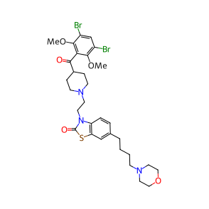 COc1c(Br)cc(Br)c(OC)c1C(=O)C1CCN(CCn2c(=O)sc3cc(CCCCN4CCOCC4)ccc32)CC1